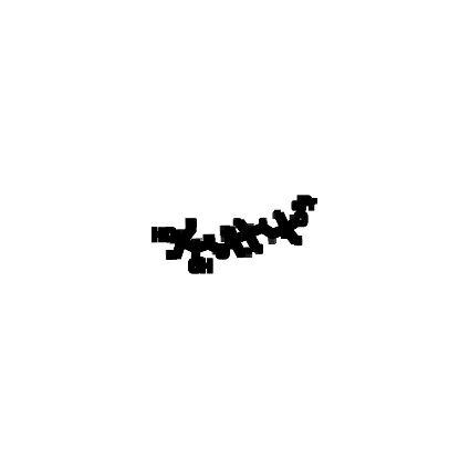 CC(C)OC(C)(C)CCC(C)(C)C(C)(C)OCC(O)C(C)(C)O